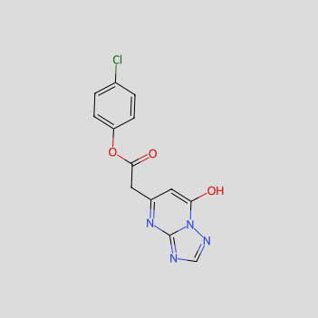 O=C(Cc1cc(O)n2ncnc2n1)Oc1ccc(Cl)cc1